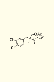 C=CCN(C)[C@](C)(COC(C)=O)Cc1ccc(Cl)c(Cl)c1